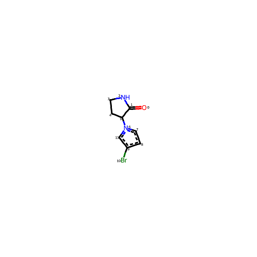 O=C1NCCC1n1ccc(Br)c1